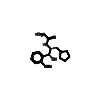 CCCCCCCC(=O)N[C@H](CN1CCCC1)[C@H](O)c1ccccc1OC